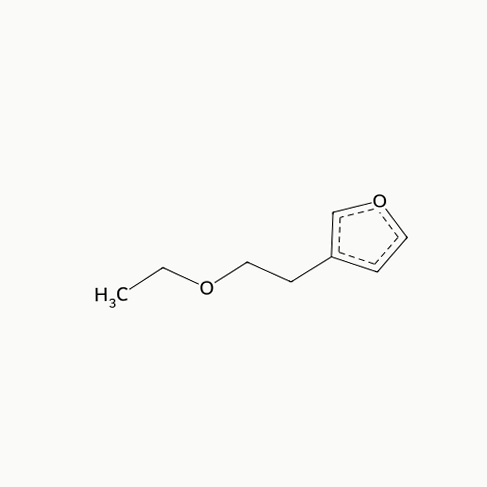 CCOCCc1ccoc1